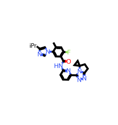 Cc1cc(F)c(C(=O)Nc2cccc(-c3nnc4n3C3(CC4)CC3)n2)cc1-n1cnc(C(C)C)c1